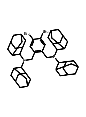 CC(C)(C)c1cc(CP(C2C3CC4CC(C3)CC2C4)C2C3CC4CC(C3)CC2C4)c(CP(C2C3CC4CC(C3)CC2C4)C2C3CC4CC(C3)CC2C4)cc1C(C)(C)C